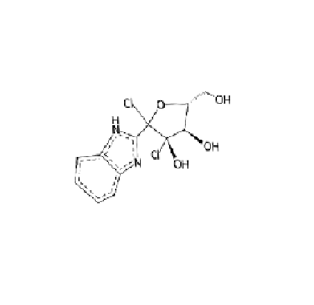 OC[C@H]1OC(Cl)(c2nc3ccccc3[nH]2)[C@@](O)(Cl)[C@@H]1O